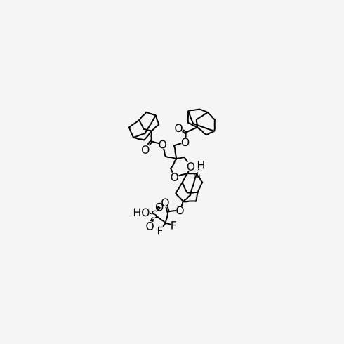 O=C(OCC1(COC(=O)C23CC4CC(CC(C4)C2)C3)COC2(OC1)C1CC3C[C@H]2CC(OC(=O)C(F)(F)S(=O)(=O)O)(C3)C1)C12CC3CC(CC(C3)C1)C2